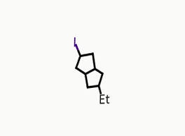 CCC1CC2CC(I)CC2C1